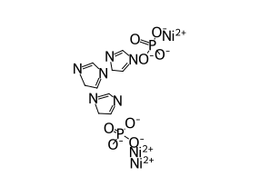 C1=NC=NC1.C1=NC=NC1.C1=NC=NC1.O=P([O-])([O-])[O-].O=P([O-])([O-])[O-].[Ni+2].[Ni+2].[Ni+2]